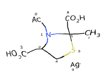 CC(=O)N1C(C(=O)O)CSC1(C)C(=O)O.[Ag]